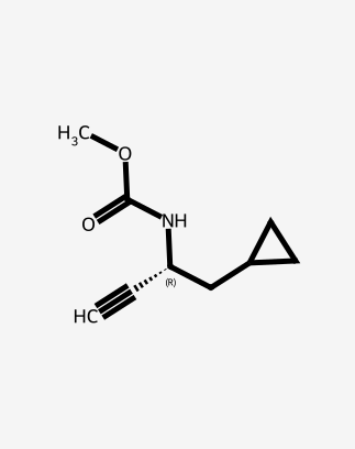 C#C[C@@H](CC1CC1)NC(=O)OC